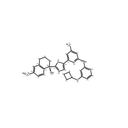 Cc1cc(Nc2cc(OC3CCC3)ccn2)nc(-c2cnc([C@@]3(O)CCCc4cc(C(=O)O)ccc43)s2)c1